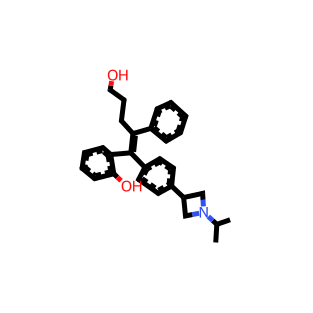 CC(C)N1CC(c2ccc(C(=C(CCCO)c3ccccc3)c3ccccc3O)cc2)C1